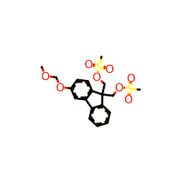 COCOc1ccc2c(c1)-c1ccccc1C2(COS(C)(=O)=O)COS(C)(=O)=O